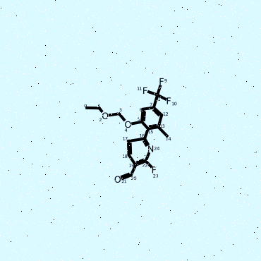 CCOCOc1cc(C(F)(F)F)cc(C)c1-c1ccc(C=O)c(F)n1